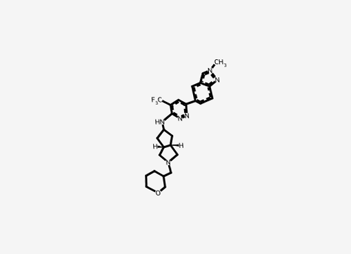 Cn1cc2cc(-c3cc(C(F)(F)F)c(NC4C[C@@H]5CN(CC6CCCOC6)C[C@@H]5C4)nn3)ccc2n1